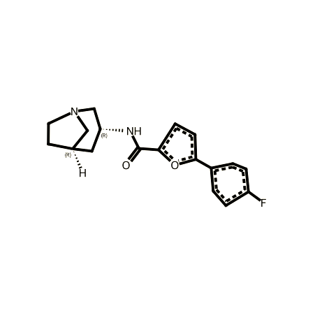 O=C(N[C@@H]1C[C@H]2CCN(C2)C1)c1ccc(-c2ccc(F)cc2)o1